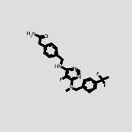 CN(Cc1ccc(C(C)(F)F)cc1)c1ncnc(NCc2ccc(CC(N)=O)cc2)c1F